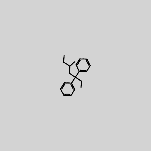 CCC(C)CC(CC)(c1ccccc1)c1ccccc1